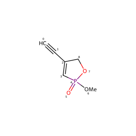 C#CC1=CP(=O)(OC)OC1